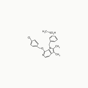 CS(=O)(=O)O.Cc1c(C)n(Cc2ccccc2)c2c(OCc3ccc(Cl)cc3)nccc12